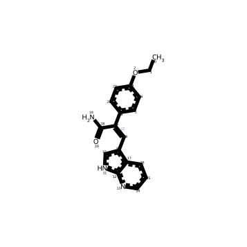 CCOc1ccc(/C(=C/c2c[nH]c3ncccc23)C(N)=O)cc1